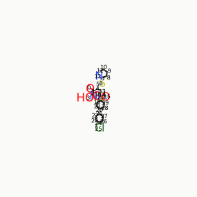 O=C(NO)[C@H](CSc1ccccn1)CS(=O)(=O)c1ccc(-c2ccc(Cl)cc2)cc1